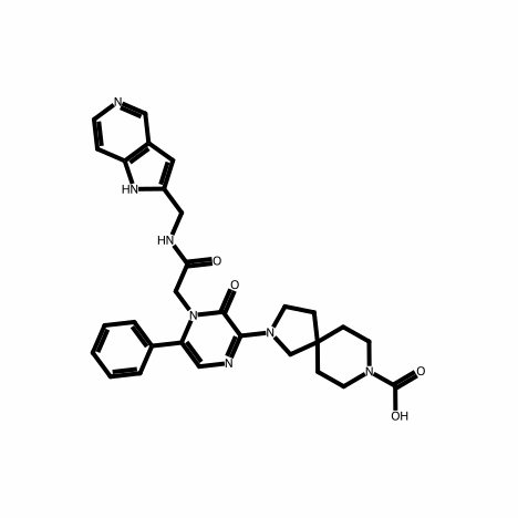 O=C(Cn1c(-c2ccccc2)cnc(N2CCC3(CCN(C(=O)O)CC3)C2)c1=O)NCc1cc2cnccc2[nH]1